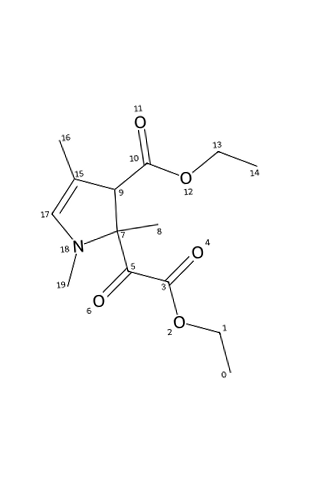 CCOC(=O)C(=O)C1(C)C(C(=O)OCC)C(C)=CN1C